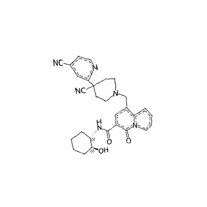 N#Cc1ccnc(C2(C#N)CCN(Cc3cc(C(=O)N[C@H]4CCCC[C@@H]4O)c(=O)n4ccccc34)CC2)c1